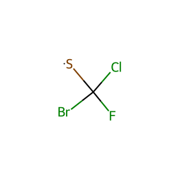 FC([S])(Cl)Br